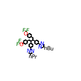 CCCCc1cnc(-c2ccc(C(=Cc3ccc(OC(F)F)cc3)C(=Cc3ccc(OC(F)F)cc3)c3ccc(-c4ncc(CCC)cn4)cc3)cc2)nc1